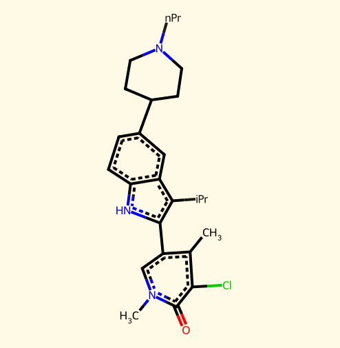 CCCN1CCC(c2ccc3[nH]c(-c4cn(C)c(=O)c(Cl)c4C)c(C(C)C)c3c2)CC1